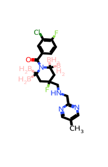 BC1(B)CC(F)(CNCc2ncc(C)cn2)CC(B)(B)N1C(=O)c1ccc(F)c(Cl)c1